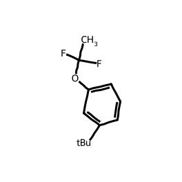 CC(F)(F)Oc1cccc(C(C)(C)C)c1